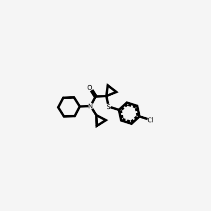 O=C(N(C1CCCCC1)C1CC1)C1(Sc2ccc(Cl)cc2)CC1